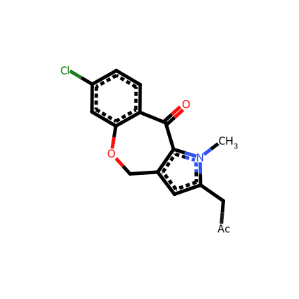 CC(=O)Cc1cc2c(n1C)C(=O)c1ccc(Cl)cc1OC2